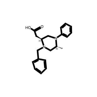 C[C@@H]1CN(Cc2ccccc2)[C@@H](CC(=O)O)CN1c1ccccc1